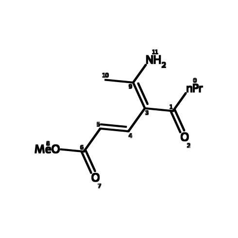 CCCC(=O)C(C=CC(=O)OC)=C(C)N